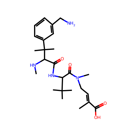 CNC(C(=O)NC(C(=O)N(C)C/C=C(\C)C(=O)O)C(C)(C)C)C(C)(C)c1cccc(CN)c1